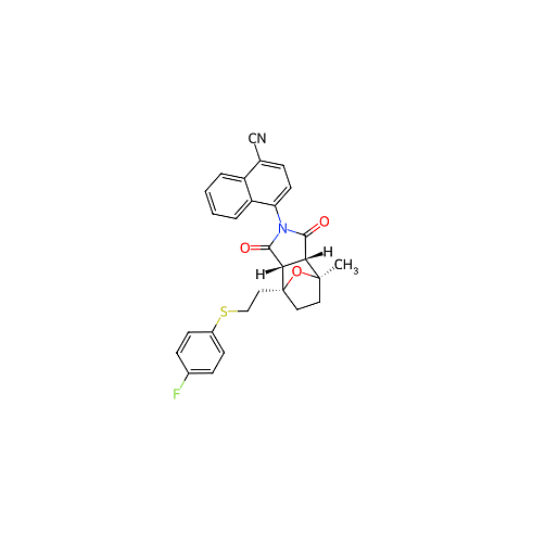 C[C@]12CC[C@](CCSc3ccc(F)cc3)(O1)[C@@H]1C(=O)N(c3ccc(C#N)c4ccccc34)C(=O)[C@@H]12